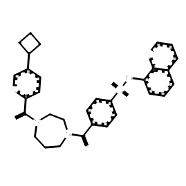 O=C(c1ccc(S(=O)(=O)Nc2cccc3cccnc23)cc1)N1CCCN(C(=O)c2ccc(C3CCC3)cn2)CC1